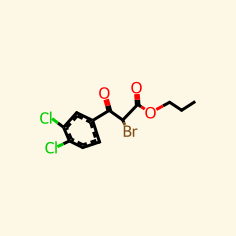 CCCOC(=O)C(Br)C(=O)c1ccc(Cl)c(Cl)c1